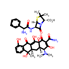 CC1(C)S[C@@H]2[C@H](NC(=O)[C@H](N)c3ccccc3)C(=O)N2[C@H]1C(=O)O.CN(C)[C@@H]1C(O)=C(C(N)=O)C(=O)[C@@]2(O)C(O)=C3C(=O)c4c(O)cccc4[C@@](C)(O)[C@H]3C[C@@H]12